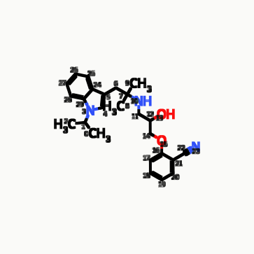 CC(C)n1cc(CC(C)(C)NCC(O)COc2ccccc2C#N)c2ccccc21